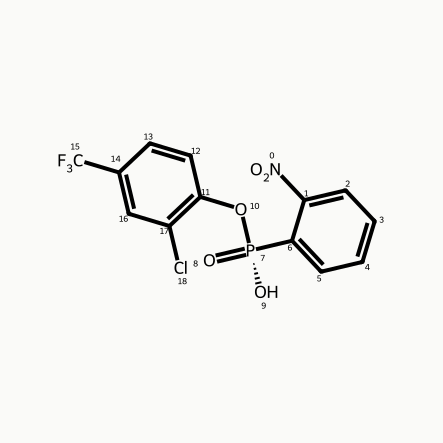 O=[N+]([O-])c1ccccc1[P@](=O)(O)Oc1ccc(C(F)(F)F)cc1Cl